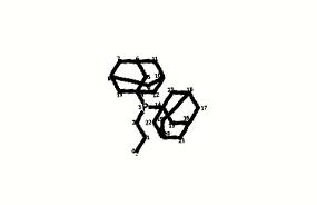 [CH2]CCP(C12CC3CC(CC(C3)C1)C2)C12CC3CC(CC(C3)C1)C2